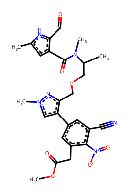 COC(=O)Cc1cc(-c2cn(C)nc2COCC(C)N(C)C(=O)c2cc(C)[nH]c2C=O)cc(C#N)c1[N+](=O)[O-]